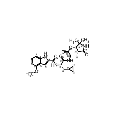 COc1cccc2[nH]c(C(=O)N[C@@H](CC3CC3)C(=O)N[C@@H](C[C@@H]3CC(C)(C)NC3=O)C(=O)O)cc12